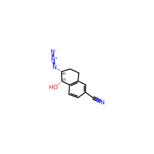 N#Cc1ccc2c(c1)CC[C@@H](N=[N+]=[N-])[C@H]2O